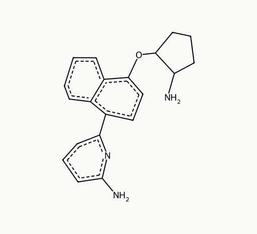 Nc1cccc(-c2ccc(OC3CCCC3N)c3ccccc23)n1